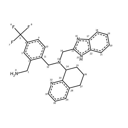 NCc1cc(C(F)(F)F)ccc1CN(Cc1nc2ccccc2[nH]1)C1CCCc2cccnc21